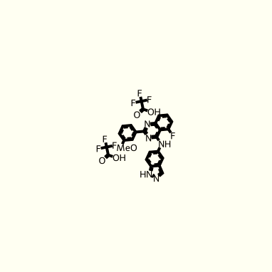 COc1cccc(-c2nc(Nc3ccc4[nH]ncc4c3)c3c(F)cccc3n2)c1.O=C(O)C(F)(F)F.O=C(O)C(F)(F)F